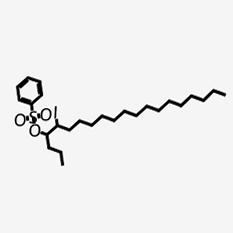 CCCCCCCCCCCCCCCC(I)C(CCC)OS(=O)(=O)c1ccccc1